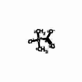 C[N+](C)(Cl)C(=O)[O-]